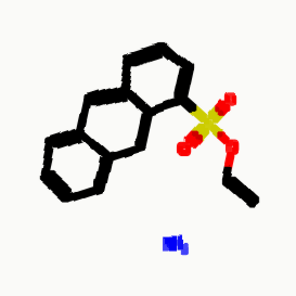 C=COS(=O)(=O)c1cccc2cc3ccccc3cc12.N